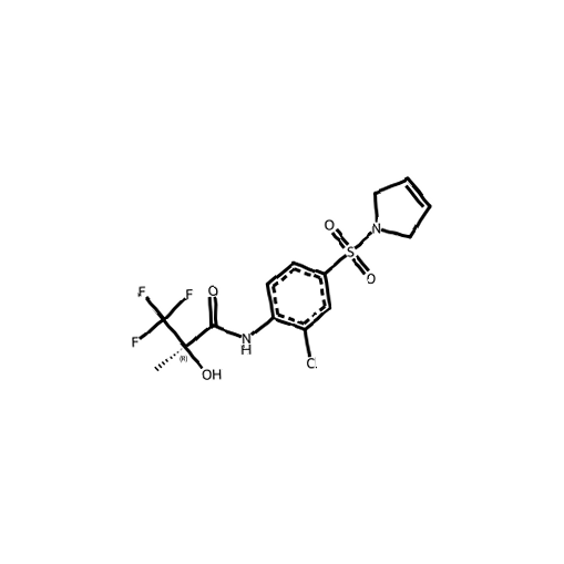 C[C@@](O)(C(=O)Nc1ccc(S(=O)(=O)N2CC=CC2)cc1Cl)C(F)(F)F